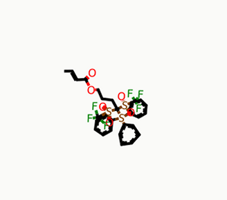 CC=CC(=O)OCCCC(S(c1ccccc1)(c1ccccc1)c1ccccc1)(S(=O)(=O)C(F)(F)F)S(=O)(=O)C(F)(F)F